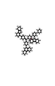 c1ccc(-c2ccc(-c3ccc(N(c4ccc(-c5cc6ccccc6c6ccccc56)cc4)c4ccc(-c5cccc6c5oc5ccccc56)cc4)cc3)c(-n3c4ccccc4c4ccccc43)c2)cc1